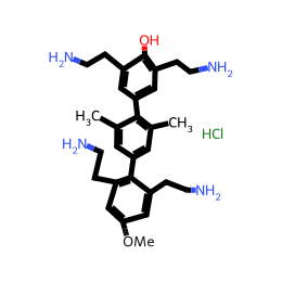 COc1cc(CCN)c(-c2cc(C)c(-c3cc(CCN)c(O)c(CCN)c3)c(C)c2)c(CCN)c1.Cl